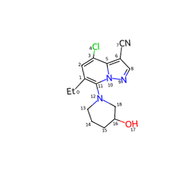 CCc1cc(Cl)c2c(C#N)cnn2c1N1CCCC(O)C1